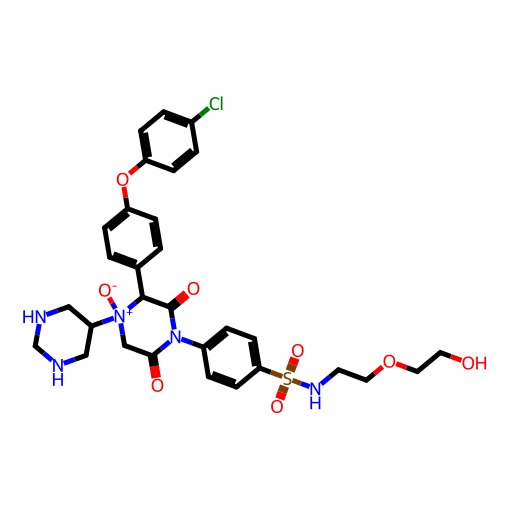 O=C1C[N+]([O-])(C2CNCNC2)C(c2ccc(Oc3ccc(Cl)cc3)cc2)C(=O)N1c1ccc(S(=O)(=O)NCCOCCO)cc1